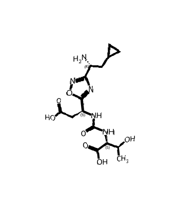 CC(O)[C@H](NC(=O)N[C@@H](CC(=O)O)c1nc([C@H](N)CC2CC2)no1)C(=O)O